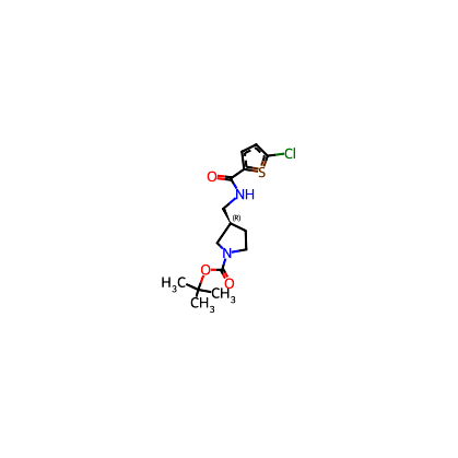 CC(C)(C)OC(=O)N1CC[C@H](CNC(=O)c2ccc(Cl)s2)C1